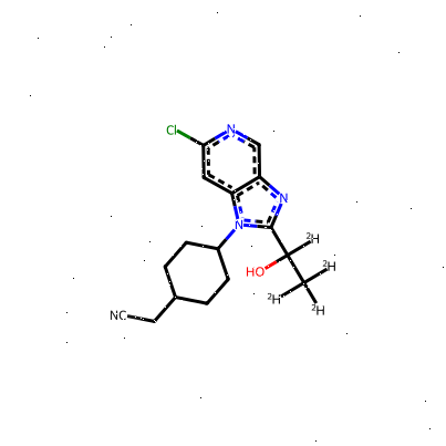 [2H]C([2H])([2H])C([2H])(O)c1nc2cnc(Cl)cc2n1C1CCC(CC#N)CC1